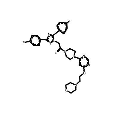 O=C(Cn1nc(-c2ccc(F)cc2)nc1-c1ccc(F)cc1)N1CCN(c2cc(OCCN3CCOCC3)ncn2)CC1